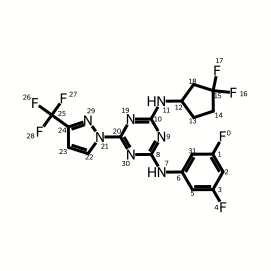 Fc1cc(F)cc(Nc2nc(NC3CCC(F)(F)C3)nc(-n3ccc(C(F)(F)F)n3)n2)c1